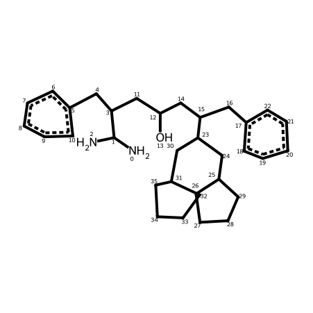 NC(N)C(Cc1ccccc1)CC(O)CC(Cc1ccccc1)C(CC1CCCC1)CC1CCCC1